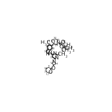 Cc1nc(N2CC(OC3CCCCO3)C2)cc(-n2ncc3cc(C)c(C4CN(C(=O)OC(C)(C)C)CCO4)cc32)n1